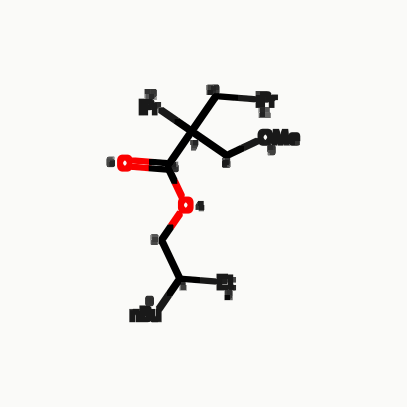 CCCCC(CC)COC(=O)C(COC)(CC(C)C)C(C)C